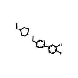 C=C[C@H]1CC[C@H](CCc2ccc(-c3ccc(F)c(Cl)c3)nc2)CC1